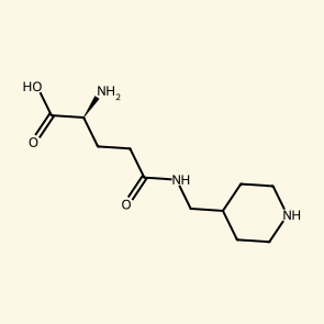 N[C@@H](CCC(=O)NCC1CCNCC1)C(=O)O